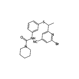 CC(Sc1cccc(NC(=O)N2CCCCC2)c1)c1cc(C#N)cc(Br)n1